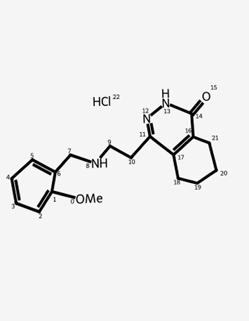 COc1ccccc1CNCCc1n[nH]c(=O)c2c1CCCC2.Cl